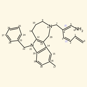 C=C/C=C\C(=C/N)CN1CCCc2c(c3cc(C)ccc3n2Cc2ccccc2)C1